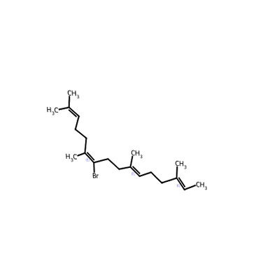 C/C=C(\C)CC/C=C(\C)CC/C(Br)=C(/C)CCC=C(C)C